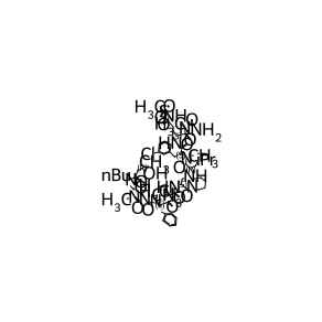 CCCCN(CC(=O)N(C)C(=O)NC(=O)N(C)[C@@H](Cc1ccccc1)C(=O)N(C)C(=O)N[C@@H](CN[C@H](CC(C)C)C(=O)N(C)[C@@H](Cc1cccc(Cl)c1)C(=O)N[C@@H](CCC(=O)NS(C)(=O)=O)C(=O)N(C)C(N)=O)C(=O)N1CCCCC1)C(=O)C[C@@H](C)O